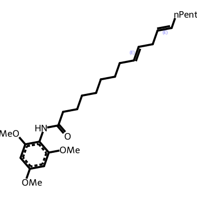 CCCCC/C=C/C/C=C/CCCCCCCC(=O)Nc1c(OC)cc(OC)cc1OC